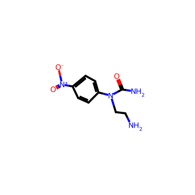 NCCN(C(N)=O)c1ccc([N+](=O)[O-])cc1